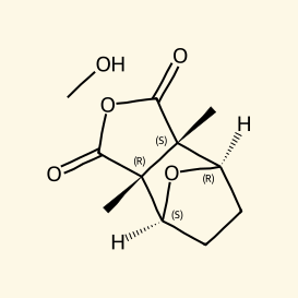 CO.C[C@@]12C(=O)OC(=O)[C@]1(C)[C@H]1CC[C@@H]2O1